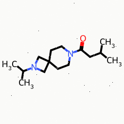 CC(C)CC(=O)N1CCC2(CC1)CN(C(C)C)C2